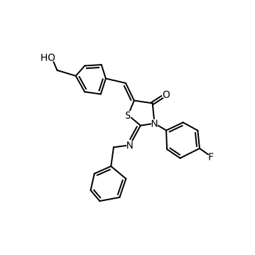 O=C1C(=Cc2ccc(CO)cc2)SC(=NCc2ccccc2)N1c1ccc(F)cc1